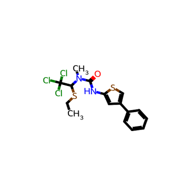 CCSC(N(C)C(=O)Nc1cc(-c2ccccc2)cs1)C(Cl)(Cl)Cl